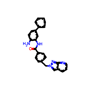 Nc1ccc(-c2ccccc2)cc1NC(=O)c1ccc(Cn2cc3cccnc3n2)cc1